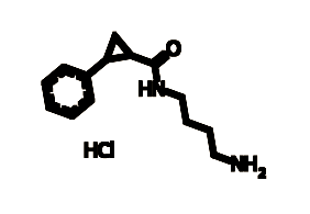 Cl.NCCCCNC(=O)C1CC1c1ccccc1